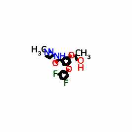 CC(CO)Oc1cc(Oc2cc(F)cc(F)c2)cc(C(=O)Nc2ccn(C)n2)c1